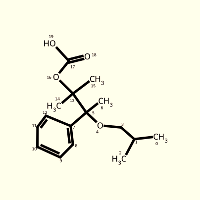 CC(C)COC(C)(c1ccccc1)C(C)(C)OC(=O)O